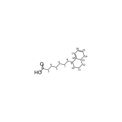 O=C(O)CCCCCCC1CCCC2CC=CC=C21